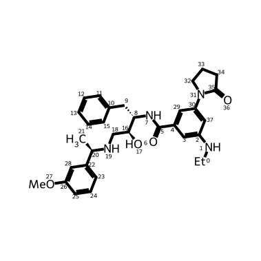 CCNc1cc(C(=O)N[C@@H](Cc2ccccc2)[C@@H](O)CN[C@H](C)c2cccc(OC)c2)cc(N2CCCC2=O)c1